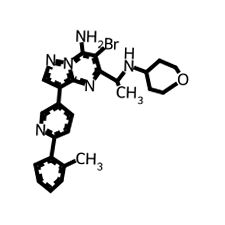 Cc1ccccc1-c1ccc(-c2cnn3c(N)c(Br)c(C(C)NC4CCOCC4)nc23)cn1